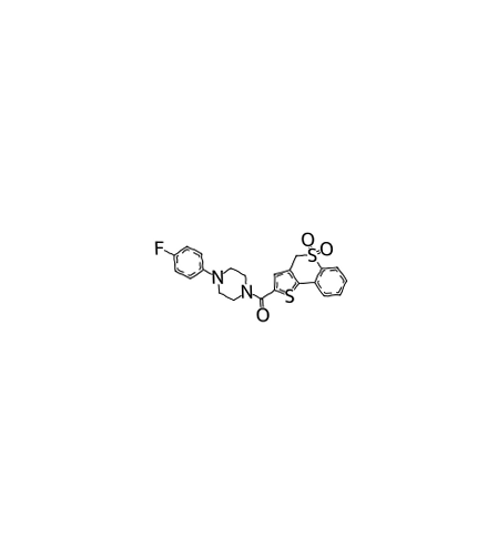 O=C(c1cc2c(s1)-c1ccccc1S(=O)(=O)C2)N1CCN(c2ccc(F)cc2)CC1